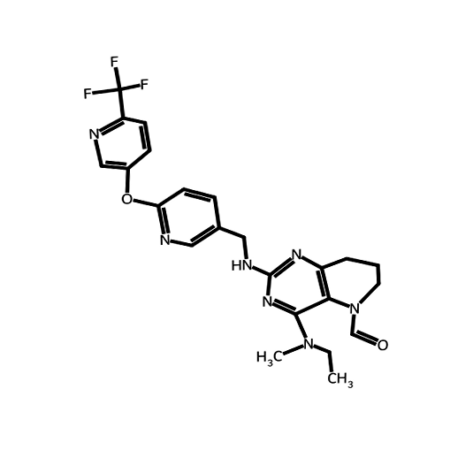 CCN(C)c1nc(NCc2ccc(Oc3ccc(C(F)(F)F)nc3)nc2)nc2c1N(C=O)CCC2